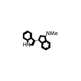 CN[C@H]1C[C@@H](C2=CNC3CC=CC=C23)c2ccccc21